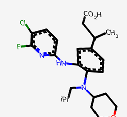 CC(C)CN(c1ccc(C(C)CC(=O)O)cc1Nc1ccc(Cl)c(F)n1)C1CCOCC1